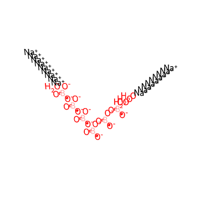 O.O.O.O.[Na+].[Na+].[Na+].[Na+].[Na+].[Na+].[Na+].[Na+].[Na+].[Na+].[Na+].[Na+].[Na+].[Na+].[Na+].[Na+].[Na+].[Na+].[O-]B([O-])[O-].[O-]B([O-])[O-].[O-]B([O-])[O-].[O-]B([O-])[O-].[O-]B([O-])[O-].[O-]B([O-])[O-]